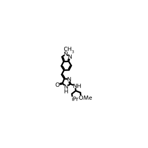 COCC(CC(C)C)NC1=N/C(=C\c2ccc3nn(C)cc3c2)C(=O)N1